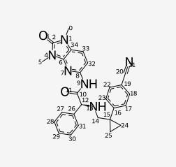 Cn1c(=O)n(C)c2nc(NC(=O)[C@@H](NCC3(c4ccc(C#N)cc4)CC3)c3ccccc3)ccc21